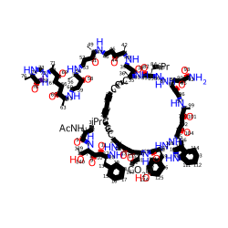 CC(=O)N[C@@H](CC(C)C)C(=O)N[C@H](C(=O)C(=O)[C@H](Cc1ccccc1)NN[C@]1(C)CCCCC#CC#CCCC[C@@](C)(C(=O)CN[C@@H](C)C(=O)CCN[C@@H](C)C(=O)CCN[C@@H](C)C(=O)CCN[C@@H](C)C(=O)CCC(=O)[C@H](C)NCN[C@H](C)C(=O)I)NC(=O)[C@H](CC(C)C)NN[C@@H](CCC(N)=O)C(=O)CN[C@@H](C)C(=O)CC(=O)[C@H](Cc2c[nH]c3ccccc23)NN[C@@H](Cc2ccc(O)cc2)C(=O)N[C@@H](CCC(=O)O)C(=O)C1=O)[C@@H](C)O